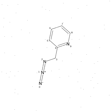 [N-]=[N+]=NCc1[c]cccn1